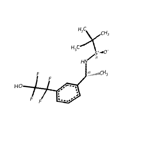 C[C@@H](N[S@+]([O-])C(C)(C)C)c1cccc(C(F)(F)C(O)(F)F)c1